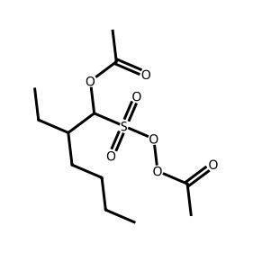 CCCCC(CC)C(OC(C)=O)S(=O)(=O)OOC(C)=O